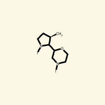 C[C@@H]1CCN(I)C1C1CN(I)CCO1